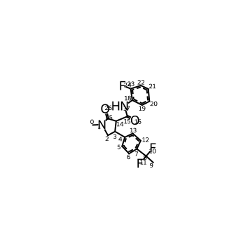 CN1CC(c2ccc(C(C)(F)F)cc2)C(C(=O)Nc2ccccc2F)C1=O